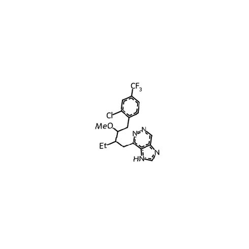 CCC(Cc1nncc2nc[nH]c12)C(Cc1ccc(C(F)(F)F)cc1Cl)OC